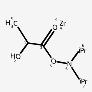 CC(O)C(=O)ON(C(C)C)C(C)C.[Zr]